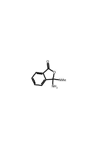 CNC1(N)OC(=O)c2ccccc21